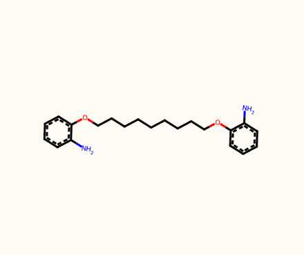 Nc1ccccc1OCCCCCCCCCOc1ccccc1N